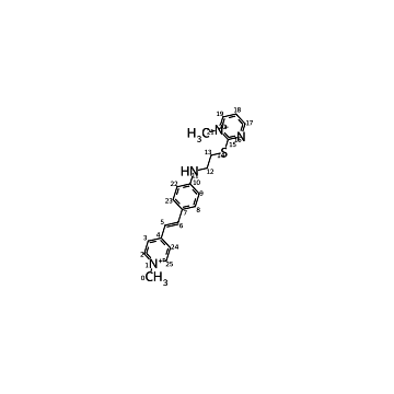 C[n+]1ccc(/C=C/c2ccc(NCCSc3nccc[n+]3C)cc2)cc1